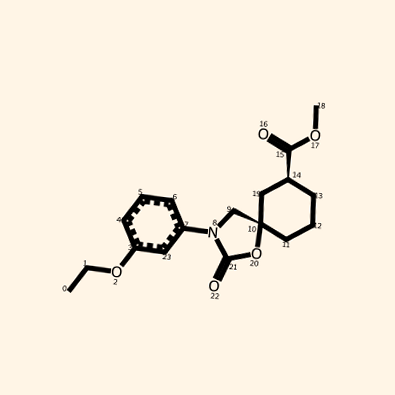 CCOc1cccc(N2C[C@@]3(CCC[C@H](C(=O)OC)C3)OC2=O)c1